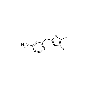 Cc1sc(Cc2cc(N)ccn2)cc1F